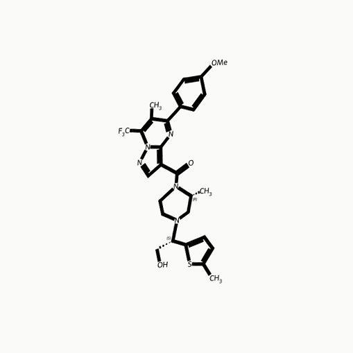 COc1ccc(-c2nc3c(C(=O)N4CCN([C@@H](CO)c5ccc(C)s5)C[C@H]4C)cnn3c(C(F)(F)F)c2C)cc1